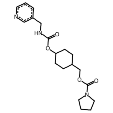 O=C(NCc1cccnc1)OC1CCC(COC(=O)N2CCCC2)CC1